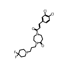 O=C(C=Cc1ccc(Cl)c(Cl)c1)N1CCC(=O)N(CCCN2CCC(F)(F)CC2)CC1